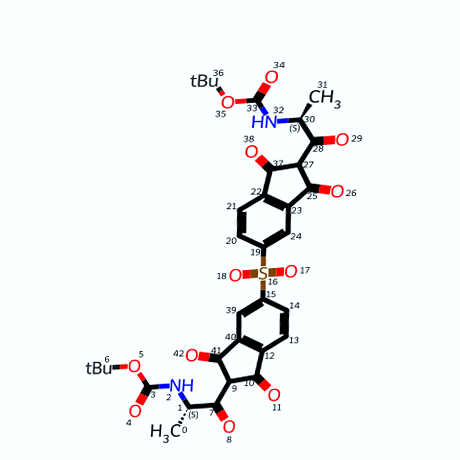 C[C@H](NC(=O)OC(C)(C)C)C(=O)C1C(=O)c2ccc(S(=O)(=O)c3ccc4c(c3)C(=O)C(C(=O)[C@H](C)NC(=O)OC(C)(C)C)C4=O)cc2C1=O